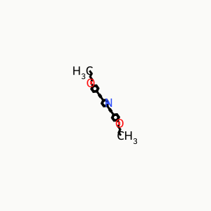 CCCCOc1ccc(C#Cc2ccc(C#Cc3ccc(OCCCC)cc3)nc2)cc1